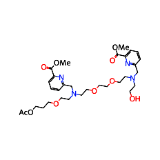 COC(=O)c1cccc(CN(CCO)CCOCCOCCN(CCOCCCOC(C)=O)Cc2cccc(C(=O)OC)n2)n1